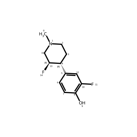 CN1CC[C@H](c2ccc(O)c(F)c2)[C@@H](F)C1